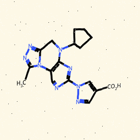 Cc1nnc2n1-c1cnc(-n3cc(C(=O)O)cn3)nc1N(C1CCCC1)C2